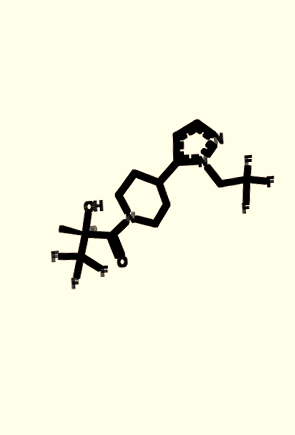 C[C@@](O)(C(=O)N1CCC(c2ccnn2CC(F)(F)F)CC1)C(F)(F)F